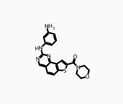 Nc1cccc(Nc2ncc3ccc4sc(C(=O)N5CCOCC5)cc4c3n2)c1